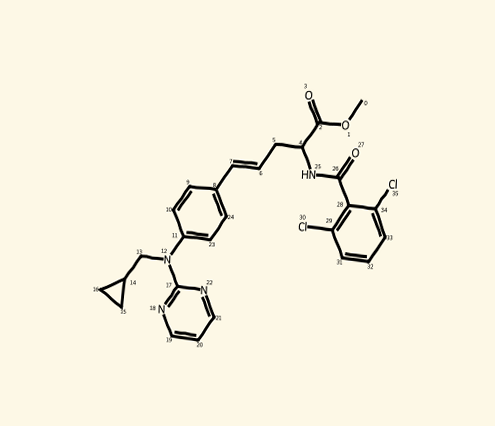 COC(=O)C(C/C=C/c1ccc(N(CC2CC2)c2ncccn2)cc1)NC(=O)c1c(Cl)cccc1Cl